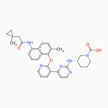 Cc1ccc2c(NC(=O)CC3(C)CC3)cccc2c1Oc1ncccc1-c1ccnc(N[C@H]2CCCN(C(=O)O)C2)n1